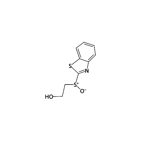 [O-][S+](CCO)c1nc2ccccc2s1